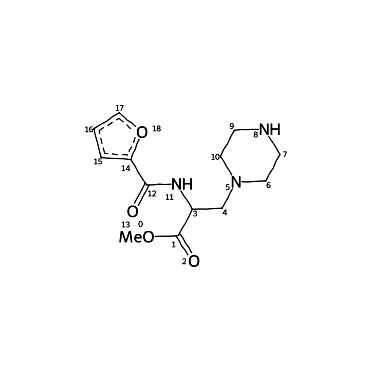 COC(=O)C(CN1CCNCC1)NC(=O)c1ccco1